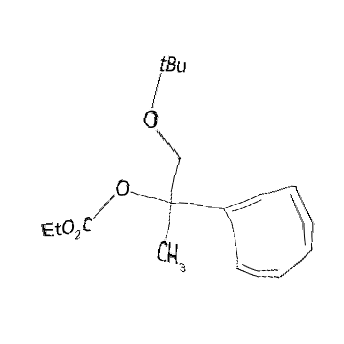 CCOC(=O)OC(C)(COC(C)(C)C)c1ccccc1